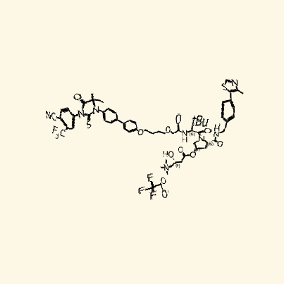 Cc1ncsc1-c1ccc(CNC(=O)[C@@H]2C[C@@H](OC(=O)C[C@@H](O)C[N+](C)(C)C)CN2C(=O)[C@@H](NC(=O)COCCCCOc2ccc(-c3ccc(N4C(=S)N(c5ccc(C#N)c(C(F)(F)F)c5)C(=O)C4(C)C)cc3)cc2)C(C)(C)C)cc1.O=C([O-])C(F)(F)F